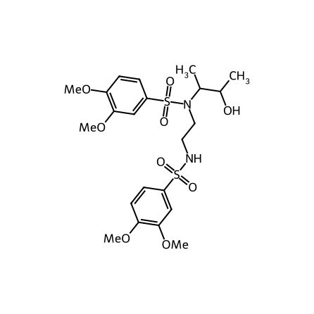 COc1ccc(S(=O)(=O)NCCN(C(C)C(C)O)S(=O)(=O)c2ccc(OC)c(OC)c2)cc1OC